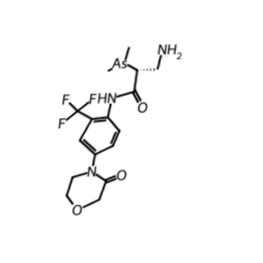 C[As](C)[C@H](CN)C(=O)Nc1ccc(N2CCOCC2=O)cc1C(F)(F)F